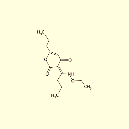 CCCC1=CC(=O)C(=C(CCC)NOCC)C(=O)O1